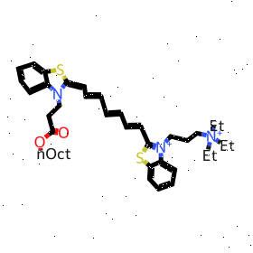 CCCCCCCCOC(=O)CCN1\C(=C/C=C/C=C/C=C/c2sc3ccccc3[n+]2CCC[N+](CC)(CC)CC)Sc2ccccc21